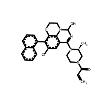 C=CC(=O)N1CCN(C2=NC(O)N3CCSc4c(-c5cccc6ccccc56)c(Cl)cc2c43)[C@@H](C)C1